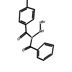 CCCCNN(C(=O)c1ccccc1)C(=O)c1ccc(F)cc1